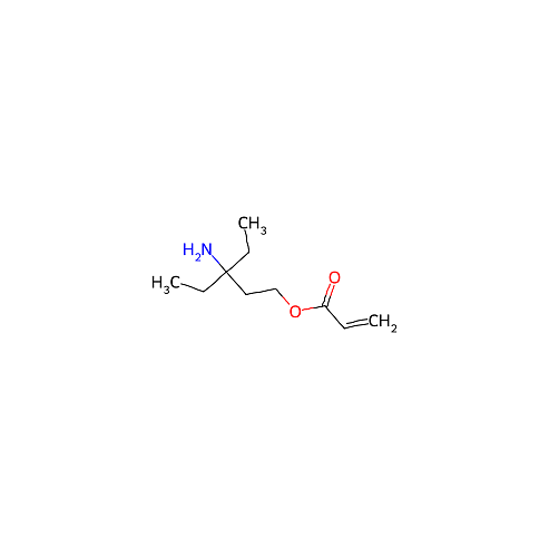 C=CC(=O)OCCC(N)(CC)CC